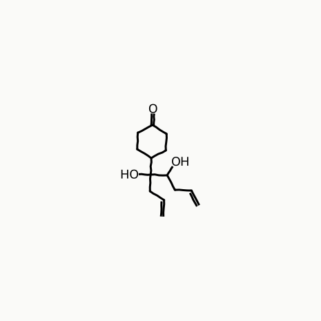 C=CCC(O)C(O)(CC=C)C1CCC(=O)CC1